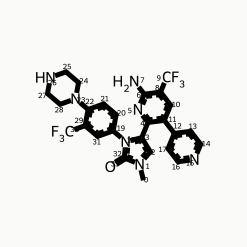 Cn1cc(-c2nc(N)c(C(F)(F)F)cc2-c2ccncc2)n(-c2ccc(N3CCNCC3)c(C(F)(F)F)c2)c1=O